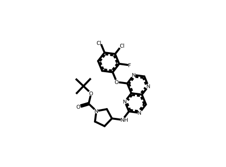 CC(C)(C)OC(=O)N1CCC(Nc2ncc3ncnc(Oc4ccc(Cl)c(Cl)c4F)c3n2)C1